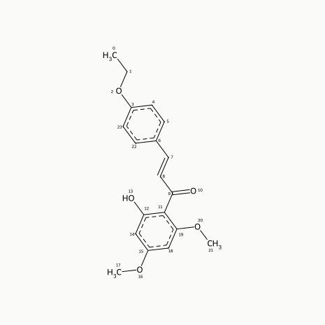 CCOc1ccc(/C=C/C(=O)c2c(O)cc(OC)cc2OC)cc1